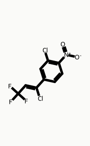 O=[N+]([O-])c1ccc(C(Cl)=CC(F)(F)F)cc1Cl